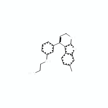 Cc1ccc2c3c([nH]c2c1)NCC=C3c1cccc(NCCN)c1